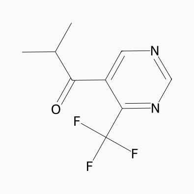 CC(C)C(=O)c1cncnc1C(F)(F)F